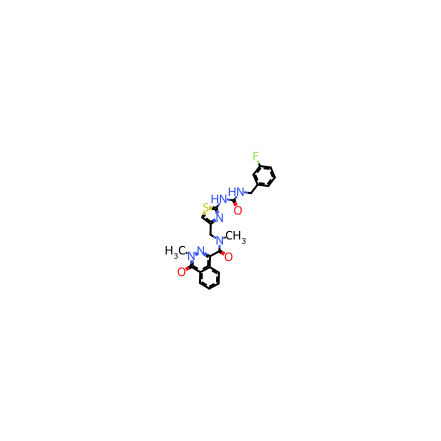 CN(Cc1csc(NC(=O)NCc2cccc(F)c2)n1)C(=O)c1nn(C)c(=O)c2ccccc12